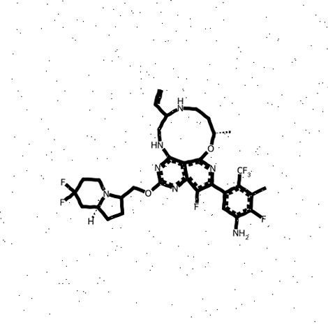 C=CC1CNc2nc(OCC3CC[C@H]4CC(F)(F)CCN34)nc3c(F)c(-c4cc(N)c(F)c(C)c4C(F)(F)F)nc(c23)O[C@@H](C)CCN1